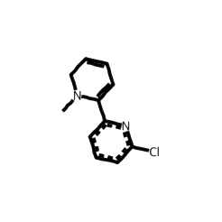 CN1CC=CC=C1c1cccc(Cl)n1